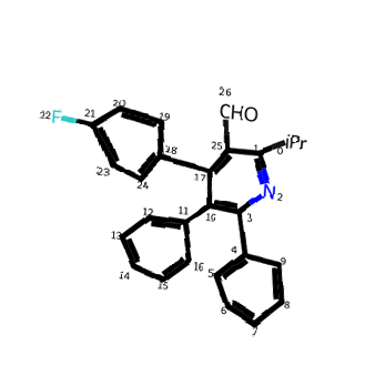 CC(C)c1nc(-c2ccccc2)c(-c2ccccc2)c(-c2ccc(F)cc2)c1C=O